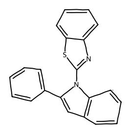 [c]1cccc2cc(-c3ccccc3)n(-c3nc4ccccc4s3)c12